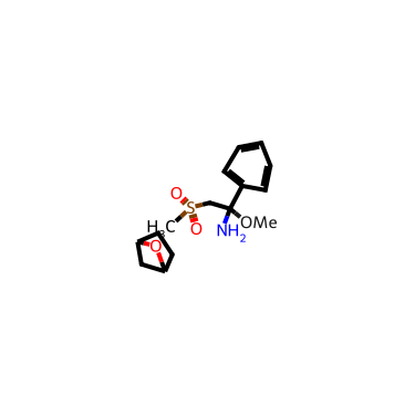 C1CC2CC1O2.COC(N)(CS(C)(=O)=O)c1ccccc1